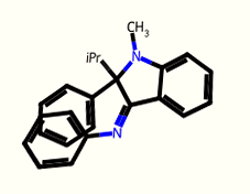 CC(C)C1(c2ccccc2)/C(=N\c2ccccc2)c2ccccc2N1C